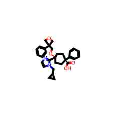 O=C(O)[C@]1(c2ccccc2)CC[C@@](OCC2(c3ccccc3)COC2)(c2nccn2CC2CC2)CC1